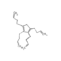 C=CCCC1=C(CCC=C)C(CCC=C)=C(CCC=C)C1